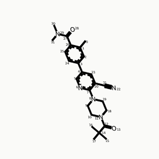 Cc1cc(-c2cnc(N3CCN(C(=O)C(C)(C)C)CC3)c(C#N)c2)ccc1C(=O)N(C)C